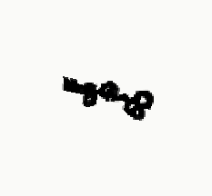 COC(=O)C1=CCCN(CCC2CCOc3ccccc32)C1